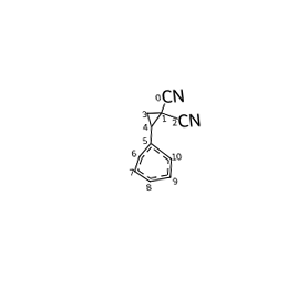 N#CC1(C#N)CC1c1ccccc1